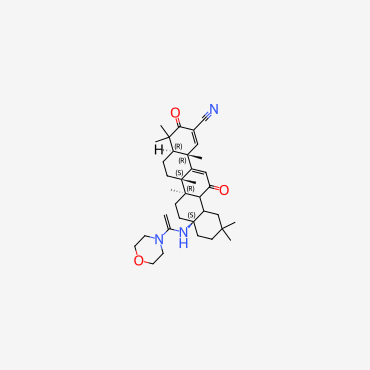 C=C(N[C@]12CCC(C)(C)CC1C1C(=O)C=C3[C@@]4(C)C=C(C#N)C(=O)C(C)(C)[C@@H]4CC[C@@]3(C)[C@]1(C)CC2)N1CCOCC1